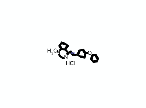 CN1CCN=C(/C=C/c2ccc(Oc3ccccc3)cc2)c2ccccc21.Cl